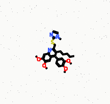 CCCCCc1c(CSc2nccn2C)nc2cc(OC)c(OC)cc2c1-c1ccc(OC)c(OC)c1